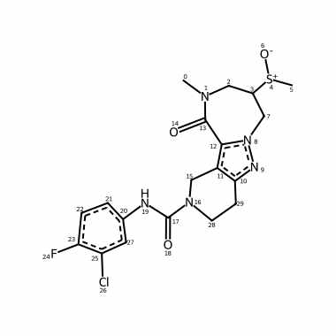 CN1CC([S+](C)[O-])Cn2nc3c(c2C1=O)CN(C(=O)Nc1ccc(F)c(Cl)c1)CC3